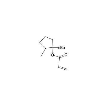 C=CC(=O)OC1(CCCC)CCCC1C